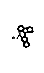 CCCCC(=N)c1cc2ccccc2cc1C1c2ccccc2-c2ccccc21